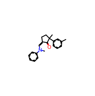 Cc1cccc(C2(C)CC/C(=C/N(C)c3ccccc3)C2=O)c1